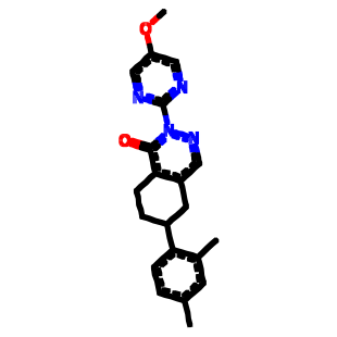 COc1cnc(-n2ncc3c(c2=O)CCC(c2ccc(C)cc2C)C3)nc1